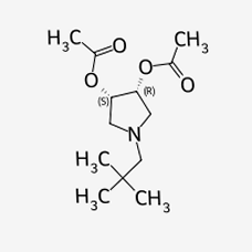 CC(=O)O[C@H]1CN(CC(C)(C)C)C[C@H]1OC(C)=O